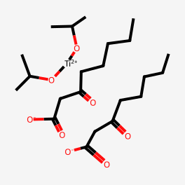 CC(C)[O][Ti+2][O]C(C)C.CCCCCC(=O)CC(=O)[O-].CCCCCC(=O)CC(=O)[O-]